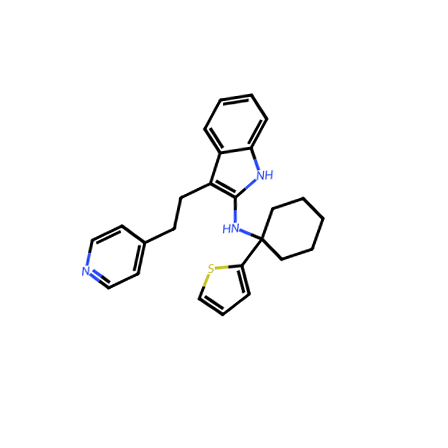 c1csc(C2(Nc3[nH]c4ccccc4c3CCc3ccncc3)CCCCC2)c1